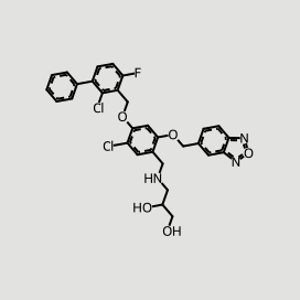 OCC(O)CNCc1cc(Cl)c(OCc2c(F)ccc(-c3ccccc3)c2Cl)cc1OCc1ccc2nonc2c1